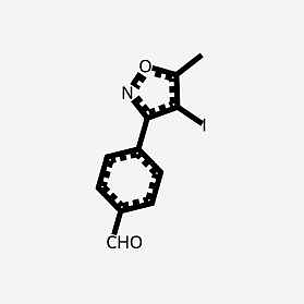 Cc1onc(-c2ccc(C=O)cc2)c1I